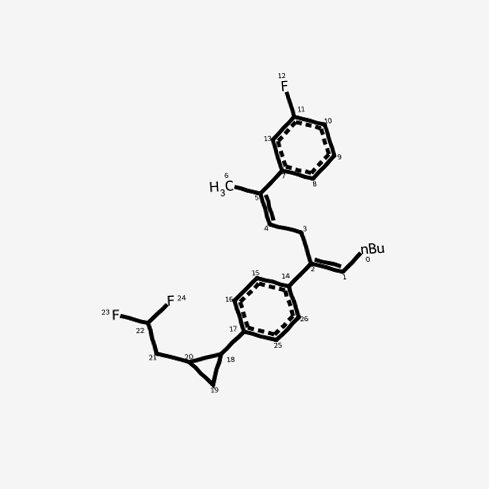 CCCC/C=C(\C/C=C(/C)c1cccc(F)c1)c1ccc(C2CC2CC(F)F)cc1